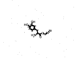 [N-]=[N+]=NOC(=O)C(N)Cc1ccc(O)c(O)c1